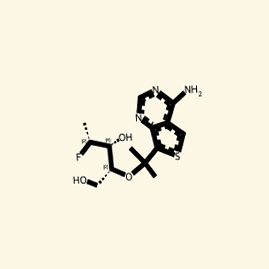 C[C@@H](F)[C@H](O)[C@@H](CO)OC(C)(C)c1scc2c(N)ncnc12